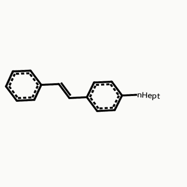 CCCCCCCc1ccc(C=Cc2ccccc2)cc1